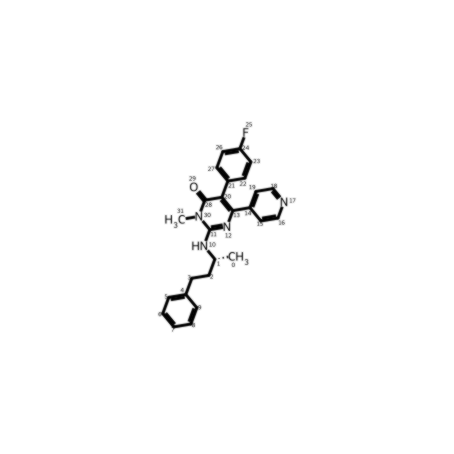 C[C@H](CCc1ccccc1)Nc1nc(-c2ccncc2)c(-c2ccc(F)cc2)c(=O)n1C